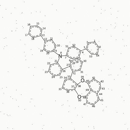 c1ccc(-c2ccc(N(c3ccc(-c4ccccc4)cc3)c3ccccc3-c3ccccc3-c3cccc4c3Oc3cccc5cccc(c35)O4)cc2)cc1